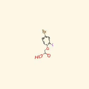 O=C(O)COc1ccc(Br)cc1I